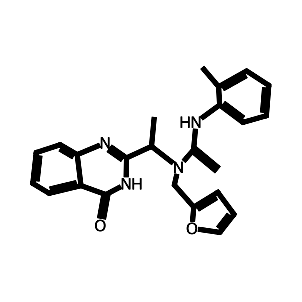 C=C(Nc1ccccc1C)N(Cc1ccco1)C(C)c1nc2ccccc2c(=O)[nH]1